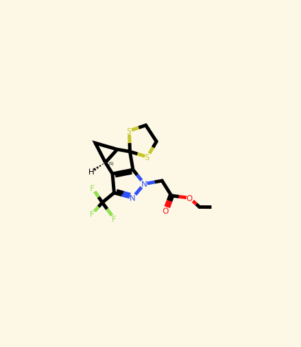 CCOC(=O)Cn1nc(C(F)(F)F)c2c1C1(SCCS1)C1C[C@H]21